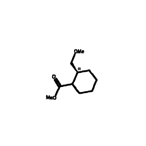 COC[C@H]1CCCCC1C(=O)OC